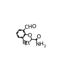 CCC(Oc1c(Br)cccc1C=O)C(N)=O